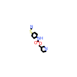 N#CSc1ccc(NC(=O)OCc2cccnc2)cc1